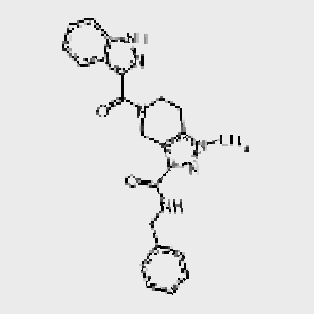 Cn1nc(C(=O)NCc2ccccc2)c2c1CCN(C(=O)c1n[nH]c3ccccc13)C2